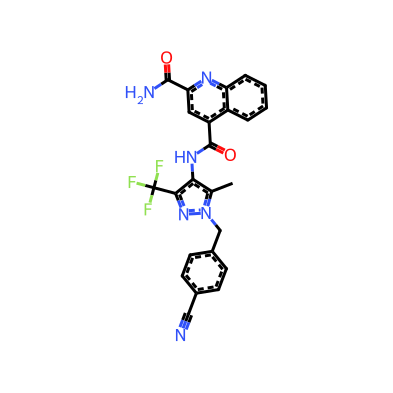 Cc1c(NC(=O)c2cc(C(N)=O)nc3ccccc23)c(C(F)(F)F)nn1Cc1ccc(C#N)cc1